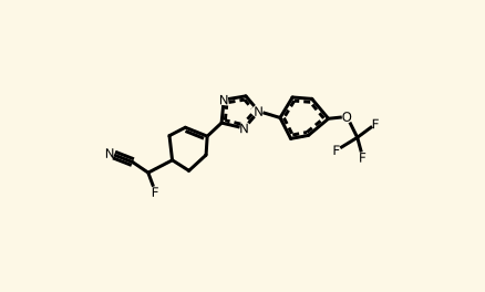 N#CC(F)C1CC=C(c2ncn(-c3ccc(OC(F)(F)F)cc3)n2)CC1